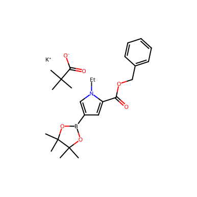 CC(C)(C)C(=O)[O-].CCn1cc(B2OC(C)(C)C(C)(C)O2)cc1C(=O)OCc1ccccc1.[K+]